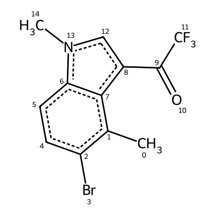 Cc1c(Br)ccc2c1c(C(=O)C(F)(F)F)cn2C